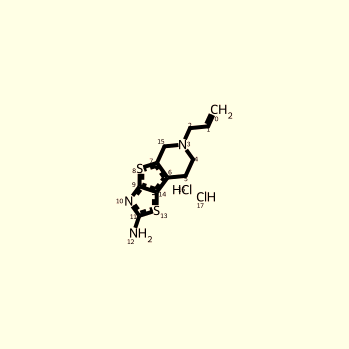 C=CCN1CCc2c(sc3nc(N)sc23)C1.Cl.Cl